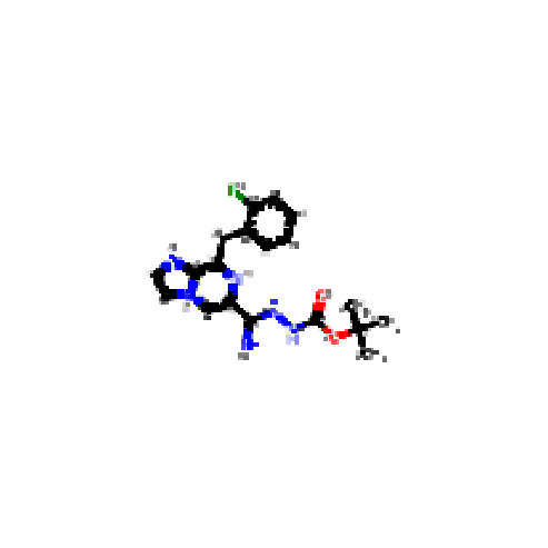 CC(C)(C)OC(=O)NNC(=N)c1cn2ccnc2c(Cc2ccccc2F)n1